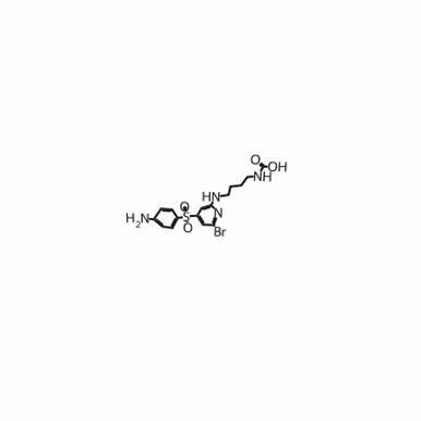 Nc1ccc(S(=O)(=O)c2cc(Br)nc(NCCCCNC(=O)O)c2)cc1